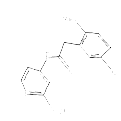 COc1ccc(Cl)cc1CC(=O)Nc1ccnc(C(=O)O)c1